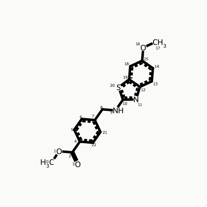 COC(=O)c1ccc(CNc2nc3ccc(OC)cc3s2)cc1